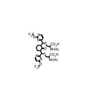 CC(=O)N[C@@H](CSC(c1ccnc(OC(F)(F)F)n1)C1CCCC(C(SC[C@H](NC(C)=O)C(=O)O)c2nccc(OC(F)(F)F)n2)C1=O)C(=O)O